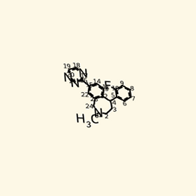 CN1CCC(c2ccccc2F)c2ccc(-c3nccnn3)cc2C1